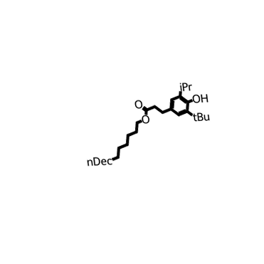 CCCCCCCCCCCCCCCCOC(=O)CCc1cc(C(C)C)c(O)c(C(C)(C)C)c1